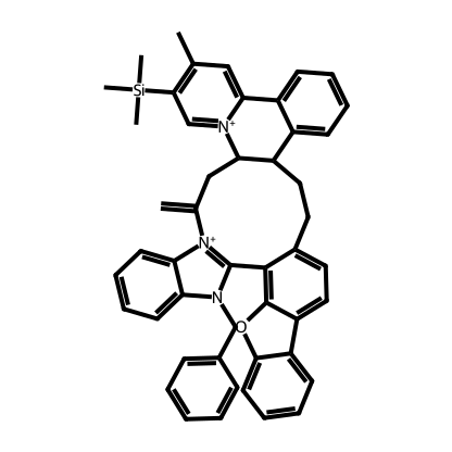 C=C1CC2C(CCc3ccc4c(oc5ccccc54)c3-c3n(Cc4ccccc4)c4ccccc4[n+]31)c1ccccc1-c1cc(C)c([Si](C)(C)C)c[n+]12